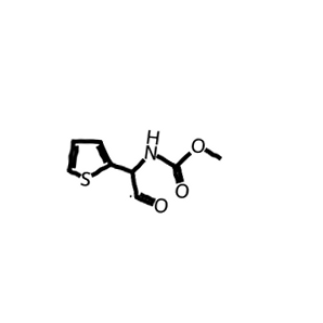 COC(=O)NC([C]=O)c1cccs1